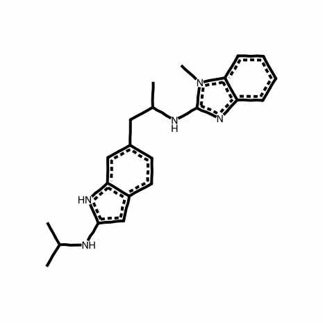 CC(C)Nc1cc2ccc(CC(C)Nc3nc4ccccc4n3C)cc2[nH]1